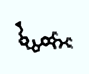 CC1c2ccc(N3CC[C@@H](Oc4ccc(OCC5CC5)nc4)C3=O)cc2C(=O)N1CC(=O)N(C)C